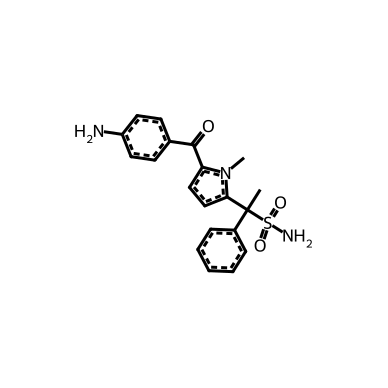 Cn1c(C(=O)c2ccc(N)cc2)ccc1C(C)(c1ccccc1)S(N)(=O)=O